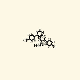 O=C(NO)C(Sc1nccc(-c2ccc(Cl)cc2)n1)c1ccc(Cl)cc1